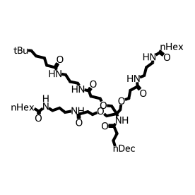 CCCCCCCCCCCCC(=O)NC(COCCC(=O)NCCCNC(=O)CCCCCC)(COCCC(=O)NCCCNC(=O)CCCCCC)COCCC(=O)NCCCNC(=O)CCCCC(C)(C)C